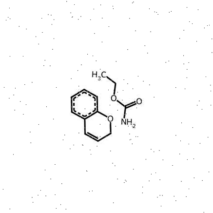 C1=Cc2ccccc2OC1.CCOC(N)=O